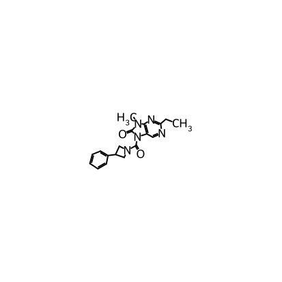 CCc1ncc2c(n1)n(C)c(=O)n2C(=O)N1CC(c2ccccc2)C1